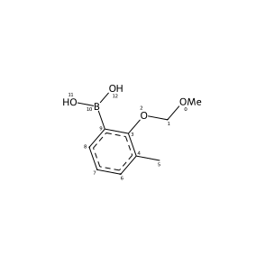 COCOc1c(C)cccc1B(O)O